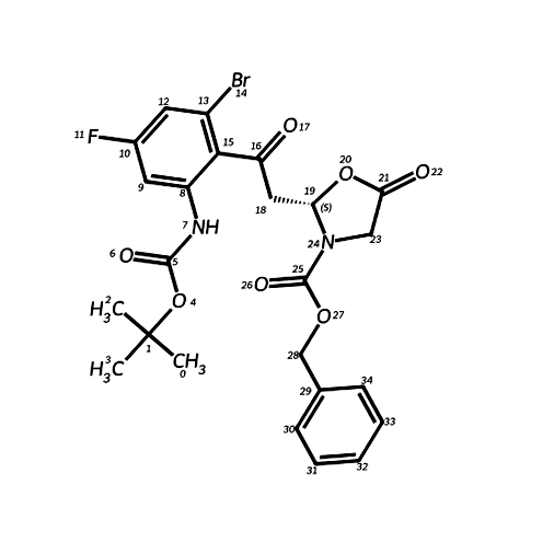 CC(C)(C)OC(=O)Nc1cc(F)cc(Br)c1C(=O)C[C@@H]1OC(=O)CN1C(=O)OCc1ccccc1